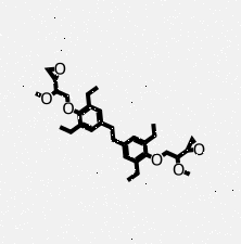 CCc1cc(CCc2cc(CC)c(OCC(OC)C3CO3)c(CC)c2)cc(CC)c1OCC(OC)C1CO1